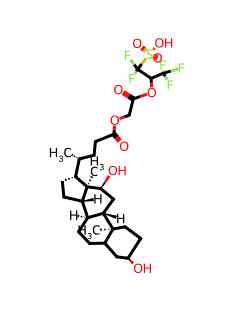 C[C@H](CCC(=O)OCC(=O)OC(C(F)(F)F)C(F)(F)S(=O)(=O)O)[C@H]1CC[C@H]2[C@@H]3CCC4C[C@H](O)CC[C@]4(C)[C@H]3C[C@H](O)[C@]12C